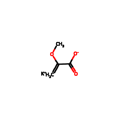 C=C(OC)C(=O)[O-].[K+]